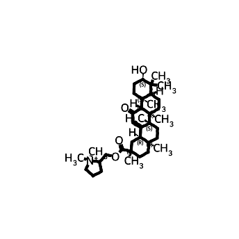 CC1(C)[C@@H](O)CC[C@]2(C)[C@H]3C(=O)C=C4[C@@H]5C[C@@](C)(C(=O)OCC6CCC[N+]6(C)C)CC[C@]5(C)CC[C@@]4(C)[C@]3(C)CC[C@@H]12